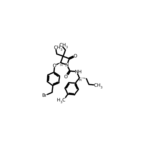 CCC[C@@H](NC(=O)N1C(=O)C(CC)(CC)[C@@H]1Oc1ccc(CBr)cc1)c1ccc(C)cc1